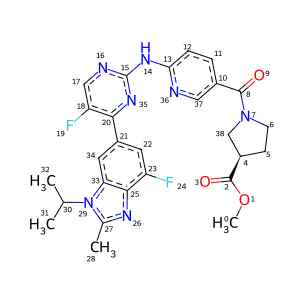 COC(=O)[C@@H]1CCN(C(=O)c2ccc(Nc3ncc(F)c(-c4cc(F)c5nc(C)n(C(C)C)c5c4)n3)nc2)C1